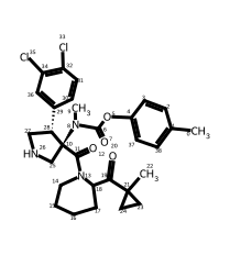 Cc1ccc(OC(=O)N(C)[C@@]2(C(=O)N3CCCCC3C(=O)C3(C)CC3)CNC[C@@H]2c2ccc(Cl)c(Cl)c2)cc1